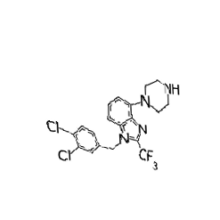 FC(F)(F)c1nc2c(N3CCNCC3)cccc2n1Cc1ccc(Cl)c(Cl)c1